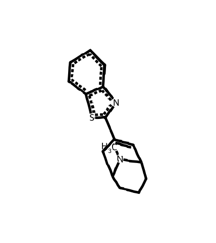 CN1C2C=C(c3nc4ccccc4s3)CC1CCC2